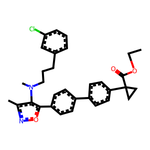 CCOC(=O)C1(c2ccc(-c3ccc(-c4onc(C)c4N(C)CCCc4cccc(Cl)c4)cc3)cc2)CC1